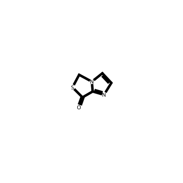 O=C1SCn2ccnc21